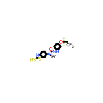 CC(C)N(C(=O)Nc1ccc(OC(F)(F)CC(F)(F)F)cc1)c1ccc2nc(S)sc2c1